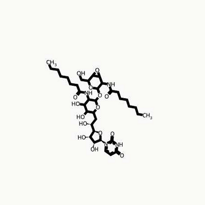 CCCCCCCC(=O)NC1C(OC2OC(CO)C3OC3C2NC(=O)CCCCCCC)OC(C[C@@H](O)[C@H]2O[C@@H](n3ccc(=O)[nH]c3=O)[C@H](O)[C@@H]2O)C(O)C1O